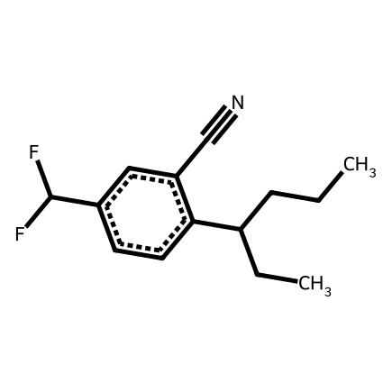 CCCC(CC)c1ccc(C(F)F)cc1C#N